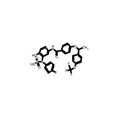 CC(Oc1ccc(C(=O)Nc2ccc(O)c(N(c3ccc(F)cc3)S(=O)(=O)O)c2)cc1)c1ccc(SC(F)(F)F)cc1